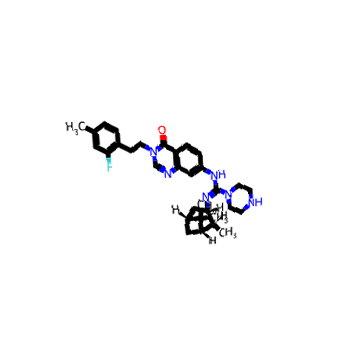 Cc1ccc(CCn2cnc3cc(NC(=N[C@H]4C[C@H]5C[C@@H]([C@@H]4C)C5(C)C)N4CCNCC4)ccc3c2=O)c(F)c1